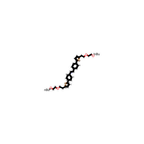 CCCCOCCOCCc1ccc(-c2ccc(/C=C/c3ccc(-c4ccc(CCOCCOCCCC)s4)cc3)cc2)s1